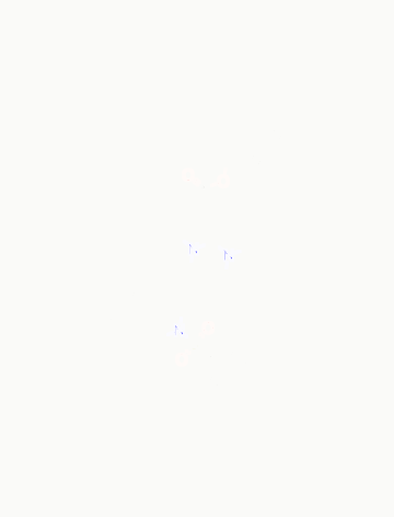 CN(C1CCCCC1)C1CC(C(=O)OCc2ccccc2)CCN1CCC(CN(C)S(=O)(=O)c1ccccc1)c1ccccc1